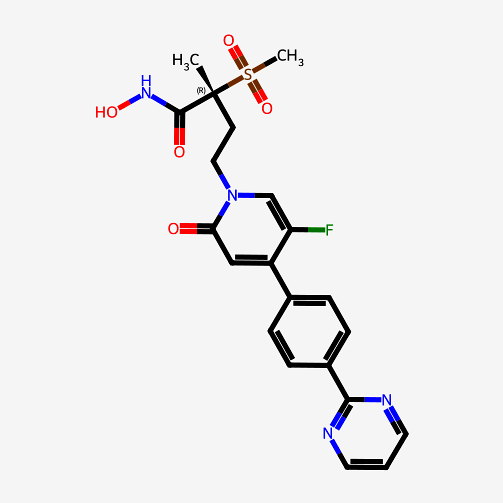 C[C@@](CCn1cc(F)c(-c2ccc(-c3ncccn3)cc2)cc1=O)(C(=O)NO)S(C)(=O)=O